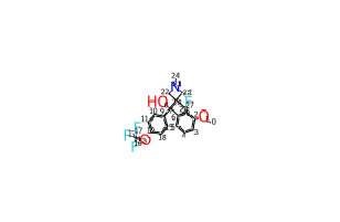 COc1cccc([C@@](O)(c2ccc(OC(F)(F)F)cc2)C2(C)CN(C)C2)c1F